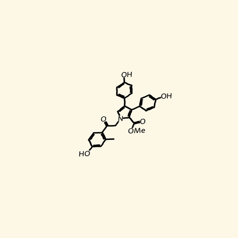 COC(=O)c1c(-c2ccc(O)cc2)c(-c2ccc(O)cc2)cn1CC(=O)c1ccc(O)cc1C